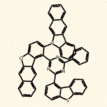 c1ccc(-c2nc(-c3c(-n4c5ccccc5c5cc6ccccc6cc54)ccc4oc5cc6ccccc6cc5c34)nc(-c3cccc4sc5ccccc5c34)n2)cc1